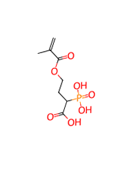 C=C(C)C(=O)OCCC(C(=O)O)P(=O)(O)O